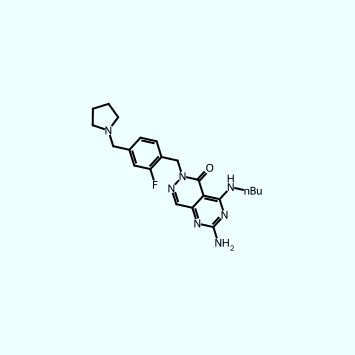 CCCCNc1nc(N)nc2cnn(Cc3ccc(CN4CCCC4)cc3F)c(=O)c12